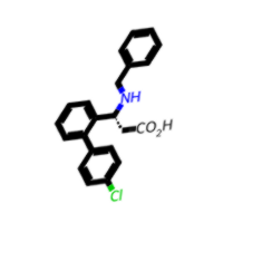 O=C(O)C[C@@H](NCc1ccccc1)c1ccccc1-c1ccc(Cl)cc1